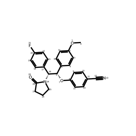 COc1ccc([C@H](Oc2ccc(C#N)cc2)[C@@H](c2ccc(F)cc2)N2CCCC2=O)cc1